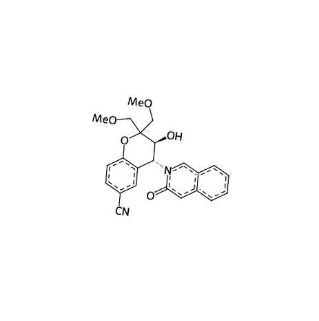 COCC1(COC)Oc2ccc(C#N)cc2[C@@H](n2cc3ccccc3cc2=O)[C@@H]1O